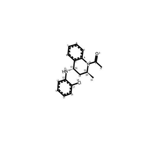 CC(=O)N1c2ccccc2[C@@H](Nc2ccccc2Cl)C[C@@H]1C